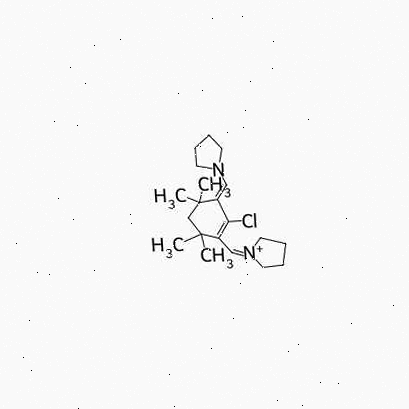 CC1(C)CC(C)(C)/C(=C\N2CCCC2)C(Cl)=C1C=[N+]1CCCC1